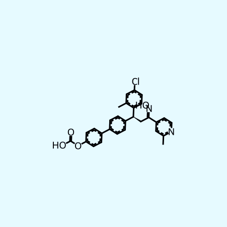 Cc1cc(/C(C[C@@H](c2ccc(-c3ccc(OC(=O)O)cc3)cc2)c2ccc(Cl)cc2C)=N/O)ccn1